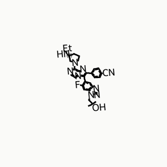 CCN[C@@H]1CCCN(c2nccn3c(-c4cc5nnn(CC(C)(C)O)c5cc4F)c(-c4ccc(C#N)cc4)nc23)C1